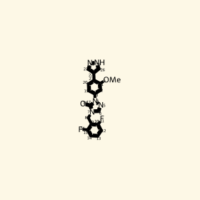 COc1cc(-n2ncn(Cc3c(F)cccc3F)c2=O)ccc1-c1cn[nH]c1